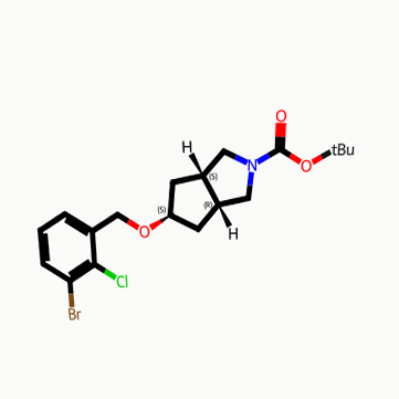 CC(C)(C)OC(=O)N1C[C@H]2C[C@H](OCc3cccc(Br)c3Cl)C[C@H]2C1